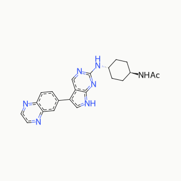 CC(=O)N[C@H]1CC[C@H](Nc2ncc3c(-c4ccc5nccnc5c4)c[nH]c3n2)CC1